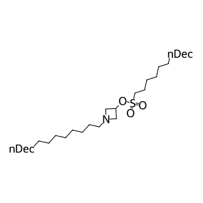 CCCCCCCCCCCCCCCCCCN1CC(OS(=O)(=O)CCCCCCCCCCCCCCCC)C1